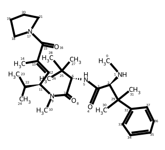 CN[C@H](C(=O)N[C@H](C(=O)N(C)[C@H](/C=C(\C)C(=O)N1CCCC1)C(C)C)C(C)(C)C)C(C)(C)c1ccccc1